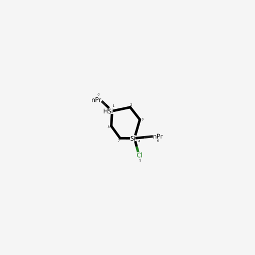 CCC[SiH]1CC[Si](Cl)(CCC)CC1